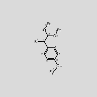 CCOC(OCC)C(Br)c1ccc(OC(F)(F)F)cc1